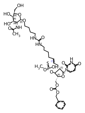 COP(O)(=S)OC1[C@@H](COC(=O)OCc2ccccc2)O[C@@H](n2ccc(=O)[nH]c2=O)[C@H]1C/C=C/CCCCNC(=O)NCCCCO[C@@H]1O[C@H](CO)[C@H](O)[C@H](O)[C@H]1NC(C)=O